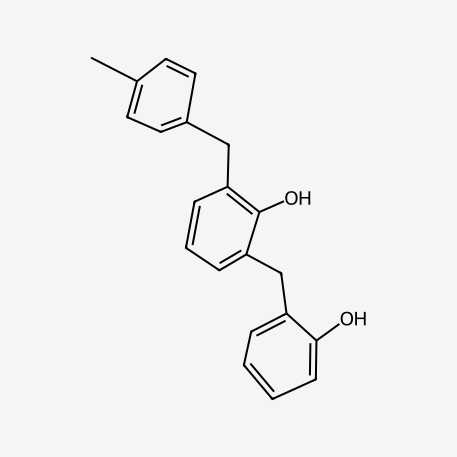 Cc1ccc(Cc2cccc(Cc3ccccc3O)c2O)cc1